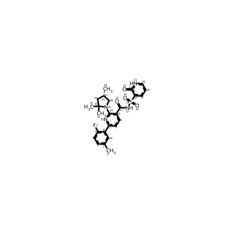 Cc1ccc(F)c(-c2ccc(C(=O)NS(=O)(=O)c3ccc[nH]c3=O)c(N3C[C@@H](C)CC3(C)C)n2)c1